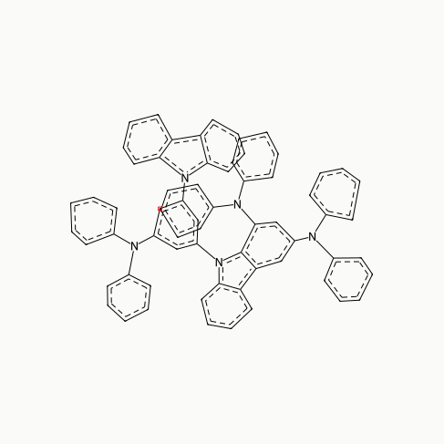 c1ccc(N(c2ccccc2)c2cc(-n3c4ccccc4c4ccccc43)cc(-n3c4ccccc4c4cc(N(c5ccccc5)c5ccccc5)cc(N(c5ccccc5)c5ccccc5)c43)c2)cc1